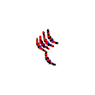 CCCCCCC(C)c1ccc(-c2ccc(OCCCC)cc2)nn1.CCCCCCC(C)c1ccc(-c2ccc(OCCCCC)cc2)nn1.CCCCCCCCOc1ccc(-c2ccc(C(C)CCCCCC)nn2)cc1.CCCCCCCOc1ccc(-c2ccc(C(C)CCCCCC)nn2)cc1.CCCCCCOc1ccc(-c2ccc(C(C)CCCCCC)nn2)cc1